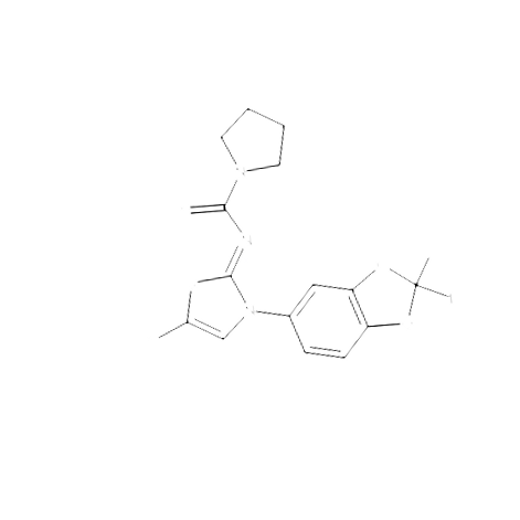 Cc1cn(-c2ccc3c(c2)OC(F)(F)O3)/c(=N/C(=S)N2CCCC2)s1